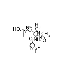 Cc1nc(N2CCOC[C@H]2C)c(NC(=O)c2ccnc(C(F)F)c2)cc1-c1ccnc(NCCO)c1